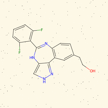 OCCc1ccc2c(c1)-c1n[nH]cc1NC(c1c(F)cccc1F)=N2